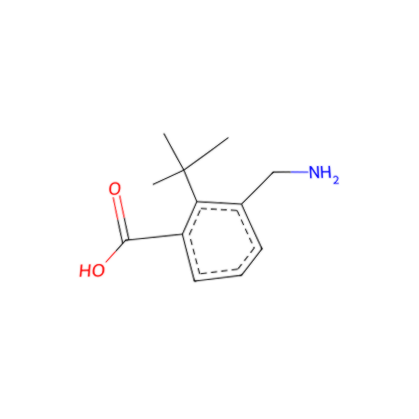 CC(C)(C)c1c(CN)cccc1C(=O)O